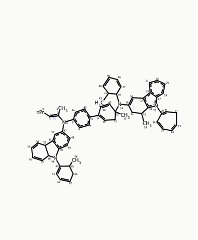 CCC/C=C(\C)N(c1ccc(C2=CCC(C)(N(C3=Cc4c(n(C5=CCC=CC=C5)c5ccccc45)C(C)C3)C3C=CC=CC3C)C=C2)cc1)c1ccc2c(c1)C1C=CC=CC1N2C1=CC=CCC1C